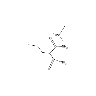 CCCC(C(N)=O)C(N)=O.C[SiH](C)C